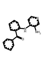 Nc1cnccc1Nc1ccccc1C(=O)c1ccccc1